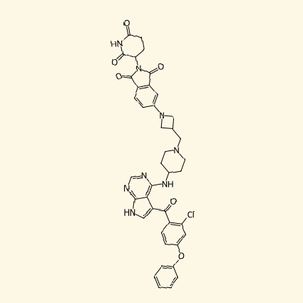 O=C1CCC(N2C(=O)c3ccc(N4CC(CN5CCC(Nc6ncnc7[nH]cc(C(=O)c8ccc(Oc9ccccc9)cc8Cl)c67)CC5)C4)cc3C2=O)C(=O)N1